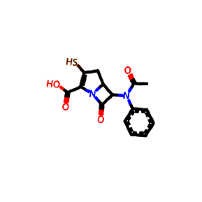 CC(=O)N(c1ccccc1)C1C(=O)N2C(C(=O)O)=C(S)CC12